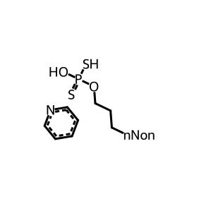 CCCCCCCCCCCCOP(O)(=S)S.c1ccncc1